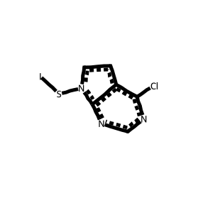 Clc1ncnc2c1ccn2SI